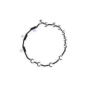 C1=C\CCCCCCCCSSSSSSS/C=C/C=C/1